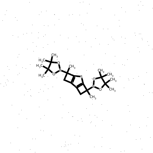 CC1(B2OC(C)(C)C(C)(C)O2)Cc2c1sc1c2CC1(C)B1OC(C)(C)C(C)(C)O1